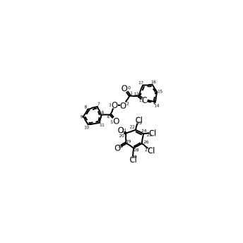 O=C(OOC(=O)c1ccccc1)c1ccccc1.O=C1C(=O)C(Cl)=C(Cl)C(Cl)=C1Cl